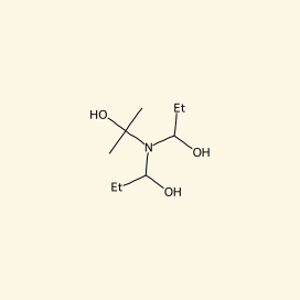 CCC(O)N(C(O)CC)C(C)(C)O